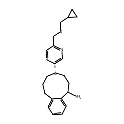 NC1CC[C@@H](c2cnc(CSCC3CC3)cn2)CCCc2ccccc21